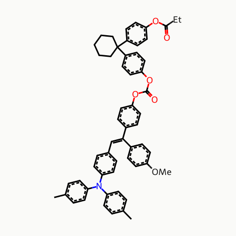 CCC(=O)Oc1ccc(C2(c3ccc(OC(=O)Oc4ccc(C(=Cc5ccc(N(c6ccc(C)cc6)c6ccc(C)cc6)cc5)c5ccc(OC)cc5)cc4)cc3)CCCCC2)cc1